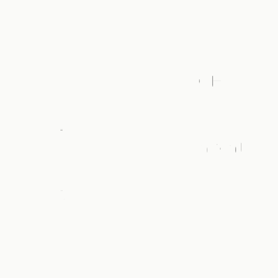 CCCCCC(CO)c1ccc2c(c1)C(C)(C)CCS2